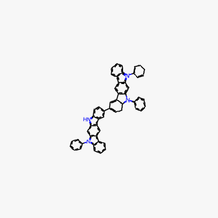 C1=CC(n2c3ccccc3c3cc4c(cc32)N(c2ccccc2)C2CC=C(c3ccc5[nH]c6cc7c(cc6c5c3)c3ccccc3n7-c3ccccc3)C=C42)=CCC1